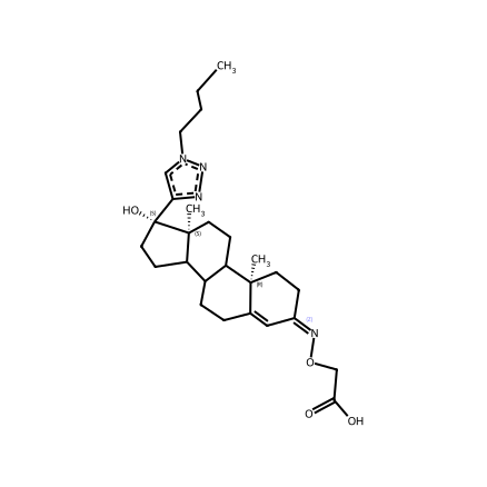 CCCCn1cc([C@]2(O)CCC3C4CCC5=C/C(=N\OCC(=O)O)CC[C@]5(C)C4CC[C@@]32C)nn1